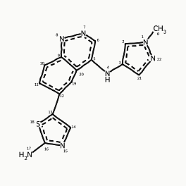 Cn1cc(Nc2cnnc3ccc(-c4cnc(N)s4)cc23)cn1